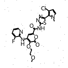 COCCOc1c(Nc2ncccc2F)cc(C(=O)Nc2nnc(-c3c(Cl)ccn3C)s2)oc1=O